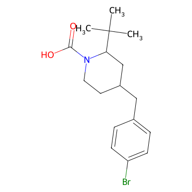 CC(C)(C)C1CC(Cc2ccc(Br)cc2)CCN1C(=O)O